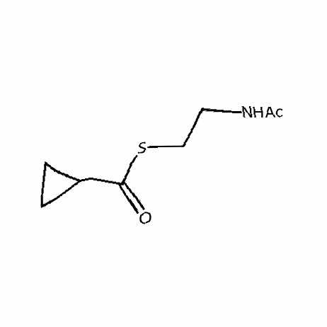 CC(=O)NCCSC(=O)C1CC1